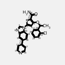 CC(Oc1cc(-n2cnc3cc(-c4ccncc4)ccc32)sc1C(N)=O)c1ccccc1Cl